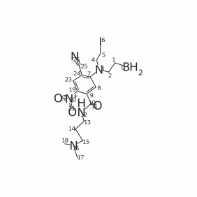 BCCN(CCI)c1cc(C(=O)NCCCN(C)C)c([N+](=O)[O-])cc1C#N